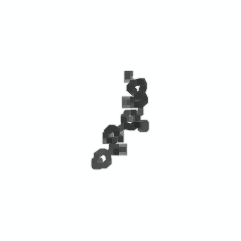 O=c1cc(-c2ccnc(NC3CCOCC3)n2)ccn1Cc1cc2ccc(F)cc2[nH]1